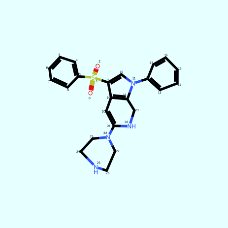 O=S(=O)(c1ccccc1)c1cn(-c2ccccc2)c2c1C=C(N1CCNCC1)NC2